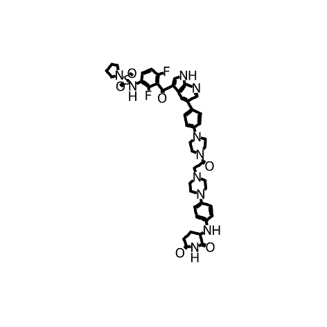 O=C1CCC(Nc2ccc(N3CCN(CC(=O)N4CCN(c5ccc(-c6cnc7[nH]cc(C(=O)c8c(F)ccc(NS(=O)(=O)N9CCCC9)c8F)c7c6)cc5)CC4)CC3)cc2)C(=O)N1